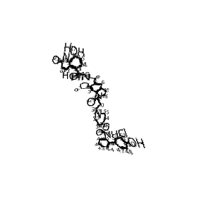 COc1cc2c(cc1CNCC(O)c1ccc(O)c3[nH]c(=O)ccc13)CCN2C(=O)CCN1CCC(OC(=O)Nc2ccccc2-c2ccc(O)c(Cl)c2)CC1